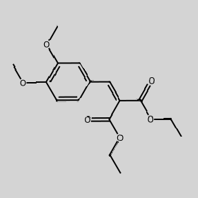 CCOC(=O)C(=Cc1ccc(OC)c(OC)c1)C(=O)OCC